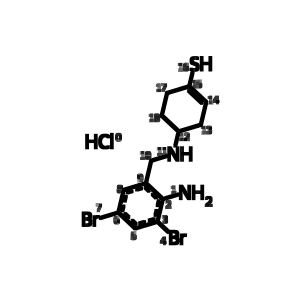 Cl.Nc1c(Br)cc(Br)cc1CNC1CC=C(S)CC1